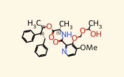 COc1ccnc(C(=O)N[C@@H](C)C(=O)O[C@@H](C)[C@H](Cc2ccccc2)c2ccccc2)c1OCOC(C)O